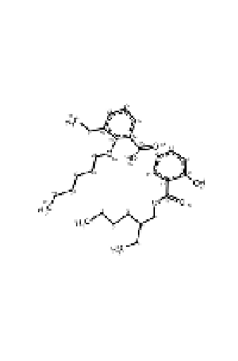 CCCCC(CC)COC(=O)c1ccccc1O.CCCCCCOc1c(CC)cccc1C(=O)O